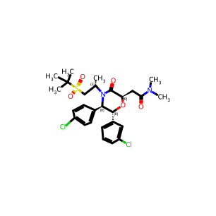 C[C@@H](CS(=O)(=O)C(C)(C)C)N1C(=O)[C@@H](CC(=O)N(C)C)O[C@H](c2cccc(Cl)c2)[C@H]1c1ccc(Cl)cc1